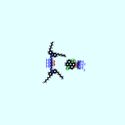 CCCCCCc1ccc2c(c1)c1cc(CCCCCC)ccc1n2CCNC(=O)NC(=O)NCCn1c2ccc(CCCCCC)cc2c2cc(CCCCCC)ccc21.Clc1ccc2ccc(Cl)c3c4c(Cl)ccc5ccc(Cl)c(c1c23)c54.NC(=O)NC(N)=O